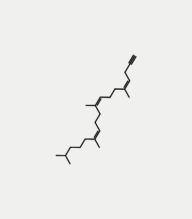 C#CCC=C(C)CCC=C(C)CCC=C(C)CCCC(C)C